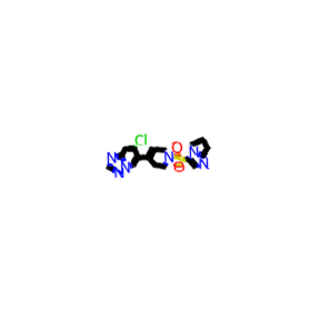 O=S(=O)(c1cnc2n1CCC2)N1CC=C(c2cn3ncnc3cc2Cl)CC1